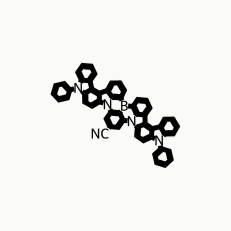 N#Cc1cc2c3c(c1)-n1c4ccc5c(c6ccccc6n5-c5ccccc5)c4c4cccc(c41)B3c1cccc3c4c5c6ccccc6n(-c6ccccc6)c5ccc4n-2c13